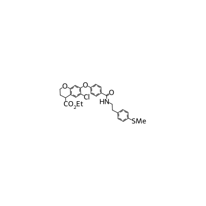 CCOC(=O)C1CCOc2cc(Oc3ccc(C(=O)NCCc4ccc(SC)cc4)cc3)c(Cl)cc21